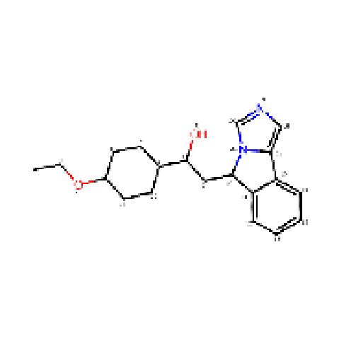 CCOC1CCC(C(O)CC2c3ccccc3-c3cncn32)CC1